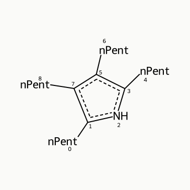 CCCCCc1[nH]c(CCCCC)c(CCCCC)c1CCCCC